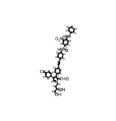 O=Cc1c(-c2ccc(C#Cc3ccc(N[S+]([O-])c4ccc(NSc5ccccc5)c([N+](=O)[O-])c4)cc3)cc2)c(C2C=CC(Cl)=CC2)cn1CCC(O)CO